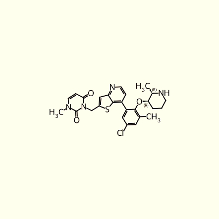 Cc1cc(Cl)cc(-c2ccnc3cc(Cn4c(=O)ccn(C)c4=O)sc23)c1O[C@@H]1CCCN[C@@H]1C